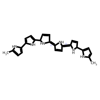 Cc1ccc(-c2ccc(C3C=C/C(=c4/cc/c(=C5/C=CC(c6ccc(C)[nH]6)N5)[nH]4)N3)[nH]2)[nH]1